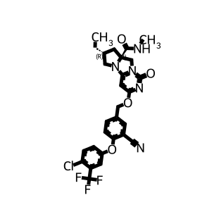 CC[C@H]1CN2c3cc(OCc4ccc(Oc5ccc(Cl)c(C(F)(F)F)c5)c(C#N)c4)nc(=O)n3C[C@@]2(C(=O)NC)C1